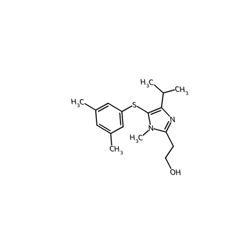 Cc1cc(C)cc(Sc2c(C(C)C)nc(CCO)n2C)c1